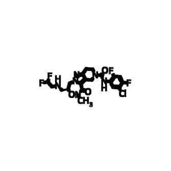 CN1O[C@@H](CNCC(F)F)Cn2nc3c(c2C1=O)CN(C(=O)Nc1cc(Cl)c(F)cc1F)CC3